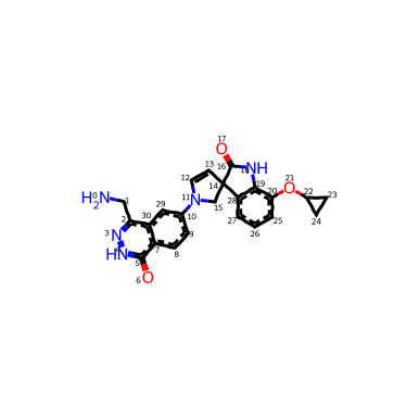 NCc1n[nH]c(=O)c2ccc(N3C=CC4(C3)C(=O)Nc3c(OC5CC5)cccc34)cc12